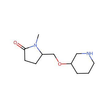 CN1C(=O)CCC1COC1CCCNC1